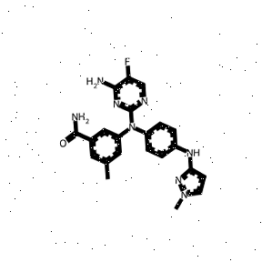 Cc1cc(C(N)=O)cc(N(c2ccc(Nc3ccn(C)n3)cc2)c2ncc(F)c(N)n2)c1